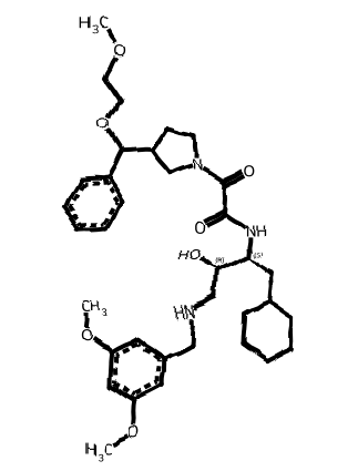 COCCOC(c1ccccc1)C1CCN(C(=O)C(=O)N[C@@H](CC2CCCCC2)[C@H](O)CNCc2cc(OC)cc(OC)c2)C1